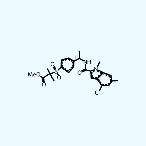 COC(=O)C(C)(C)S(=O)(=O)c1ccc([C@@H](C)NC(=O)c2cc3c(Cl)cc(C)cc3n2C)cc1